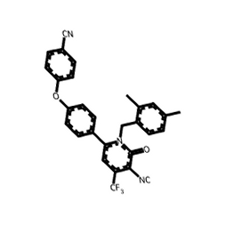 [C-]#[N+]c1c(C(F)(F)F)cc(-c2ccc(Oc3ccc(C#N)cc3)cc2)n(Cc2ccc(C)cc2C)c1=O